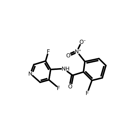 O=C(Nc1c(F)cncc1F)c1c(F)cccc1[N+](=O)[O-]